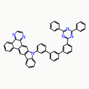 c1ccc(-c2nc(-c3ccccc3)nc(-c3cccc(-c4cccc(-c5cccc(-n6c7ccccc7c7cc8c9ccccc9c9nccnc9c8cc76)c5)c4)c3)n2)cc1